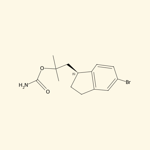 CC(C)(C[C@@H]1CCc2cc(Br)ccc21)OC(N)=O